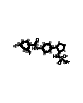 CC(C)S(=O)(=O)NC1CCCC1c1ccc(NC(=O)c2ccc(F)cc2F)cc1